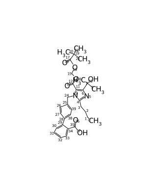 CCCCc1nc(C(C)(C)O)c(C(=O)OCOC(=O)C(C)(C)C)n1Cc1ccc(-c2ccccc2C(=O)O)cc1